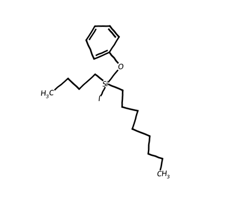 CCCCCCCC[Si](I)(CCCC)Oc1ccccc1